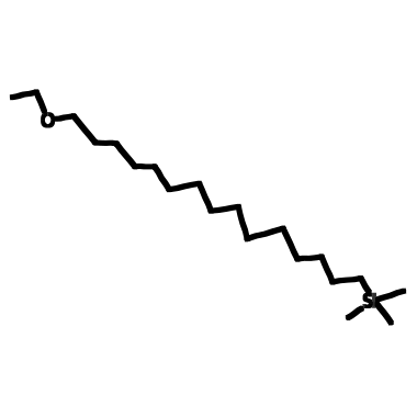 CCOCCCCCCCCCCCCCCC[Si](C)(C)C